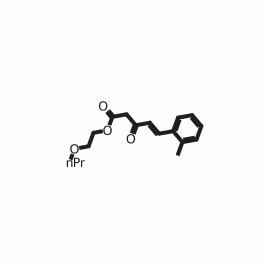 CCCOCCOC(=O)CC(=O)C=Cc1ccccc1C